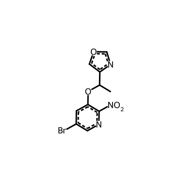 CC(Oc1cc(Br)cnc1[N+](=O)[O-])c1cocn1